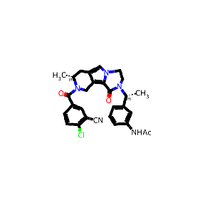 CC(=O)Nc1cccc([C@@H](C)N2CCn3cc4c(c3C2=O)CN(C(=O)c2ccc(Cl)c(C#N)c2)[C@H](C)C4)c1